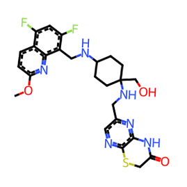 COc1ccc2c(F)cc(F)c(CNC3CCC(CO)(NCc4cnc5c(n4)NC(=O)CS5)CC3)c2n1